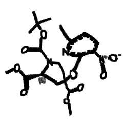 COC(=O)[C@@H]1CC(Oc2nc(C)ccc2[N+](=O)[O-])(C(=O)OC)CN1C(=O)OC(C)(C)C